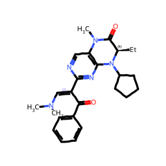 CC[C@@H]1C(=O)N(C)c2cnc(/C(=C/N(C)C)C(=O)c3ccccc3)nc2N1C1CCCC1